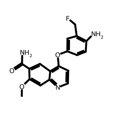 COc1cc2nccc(Oc3ccc(N)c(CF)c3)c2cc1C(N)=O